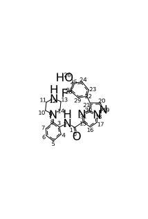 O=C(Nc1ccccc1N1CCNCC1)c1ccn2ncc(-c3ccc(O)c(F)c3)c2n1